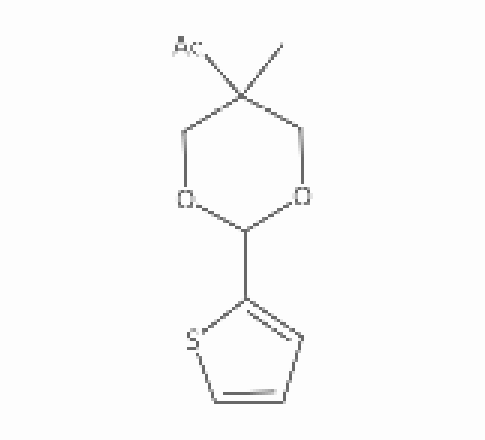 CC(=O)C1(C)COC(c2cccs2)OC1